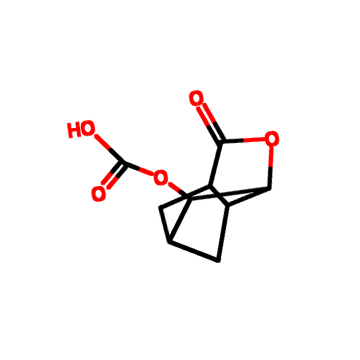 O=C(O)OC1C2CC3C(=O)OC1C3C2